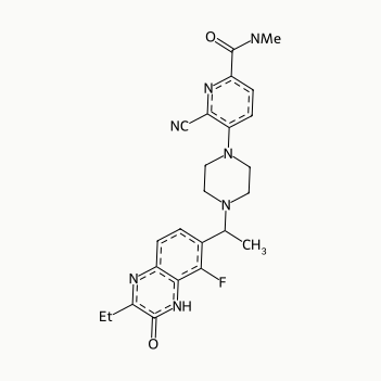 CCc1nc2ccc(C(C)N3CCN(c4ccc(C(=O)NC)nc4C#N)CC3)c(F)c2[nH]c1=O